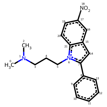 CN(C)CCCn1c(-c2ccccc2)cc2cc([N+](=O)[O-])ccc21